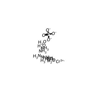 N.N.N.N.N.N.O.O.O.O.O=P([O-])([O-])[O-].[Cr+3]